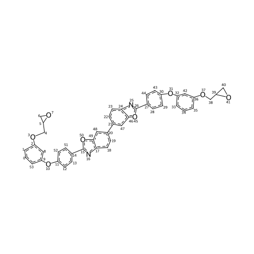 c1cc(OCC2CO2)cc(Oc2ccc(-c3nc4ccc(-c5ccc6nc(-c7ccc(Oc8cccc(OCC9CO9)c8)cc7)oc6c5)cc4o3)cc2)c1